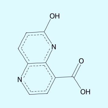 O=C(O)c1ccnc2ccc(O)nc12